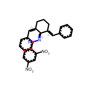 O=[N+]([O-])c1ccc(N/N=C2C(=C/c3ccccc3)\CCCC\2=C/c2ccccc2)c([N+](=O)[O-])c1